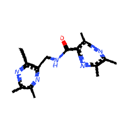 Cc1nc(C)c(CNC(=O)c2nc(C)c(C)nc2C)nc1C